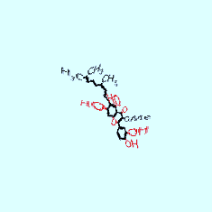 COc1c(-c2ccc(O)c(O)c2)oc2cc(O)c(CC=C(C)CCC=C(C)C)c(O)c2c1=O